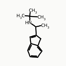 CC(NC(C)(C)C)C1=Cc2ccccc2C1